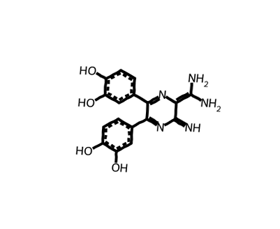 N=C1N=C(c2ccc(O)c(O)c2)C(c2ccc(O)c(O)c2)=NC1=C(N)N